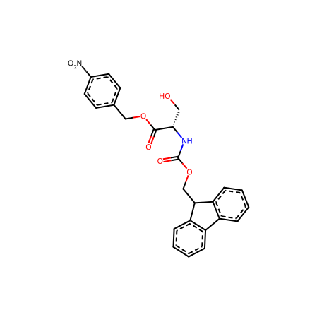 O=C(N[C@@H](CO)C(=O)OCc1ccc([N+](=O)[O-])cc1)OCC1c2ccccc2-c2ccccc21